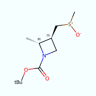 C[C@@H]1[C@@H](C[S+](C)[O-])CN1C(=O)OC(C)(C)C